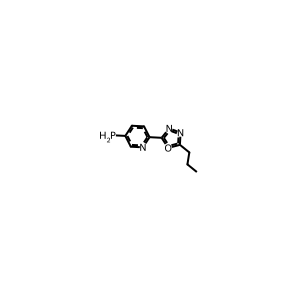 CCCc1nnc(-c2ccc(P)cn2)o1